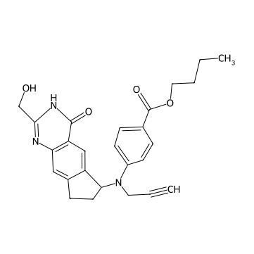 C#CCN(c1ccc(C(=O)OCCCC)cc1)C1CCc2cc3nc(CO)[nH]c(=O)c3cc21